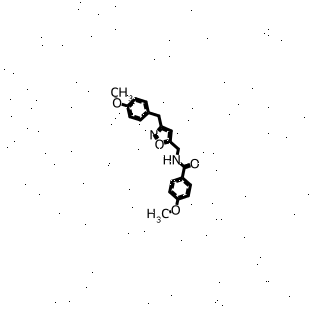 COc1ccc(Cc2cc(CNC(=O)c3ccc(OC)cc3)on2)cc1